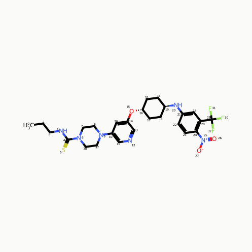 CCCNC(=S)N1CCN(c2cncc(O[C@H]3CC[C@H](Nc4ccc([N+](=O)[O-])c(C(F)(F)F)c4)CC3)c2)CC1